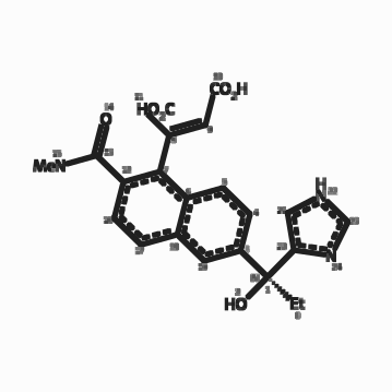 CC[C@](O)(c1ccc2c(C(=CC(=O)O)C(=O)O)c(C(=O)NC)ccc2c1)c1c[nH]cn1